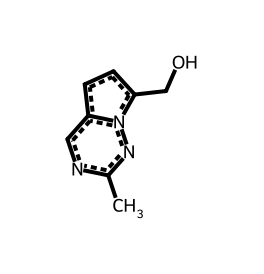 Cc1ncc2ccc(CO)n2n1